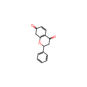 O=C1C=CC2=C(C1)OC(c1ccccc1)CC2=O